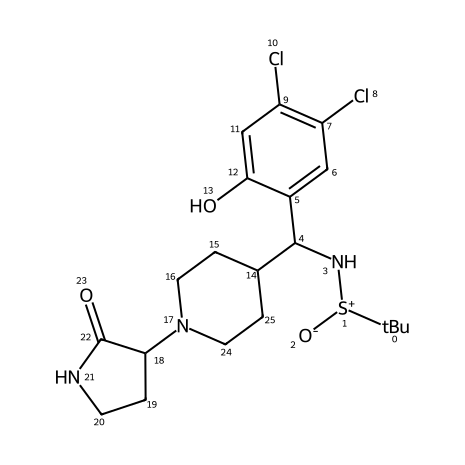 CC(C)(C)[S+]([O-])NC(c1cc(Cl)c(Cl)cc1O)C1CCN(C2CCNC2=O)CC1